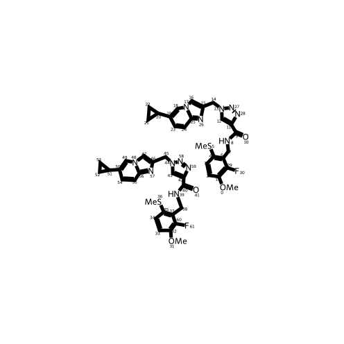 COc1ccc(SC)c(CNC(=O)c2cn(Cc3cn4cc(C5CC5)ccc4n3)nn2)c1F.COc1ccc(SC)c(CNC(=O)c2cn(Cc3cn4cc(C5CC5)ccc4n3)nn2)c1F